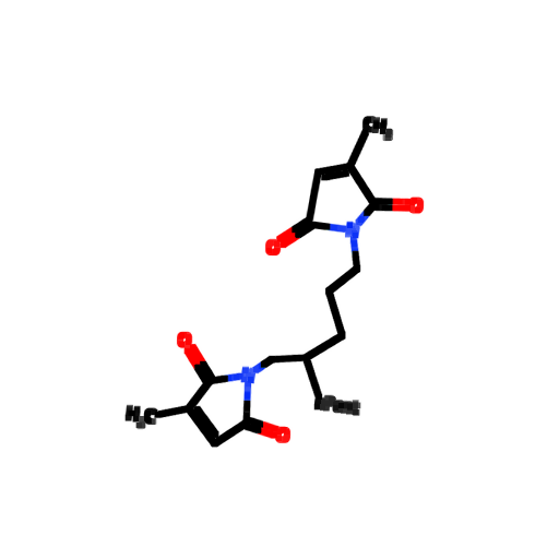 CCCCCC(CCCN1C(=O)C=C(C)C1=O)CN1C(=O)C=C(C)C1=O